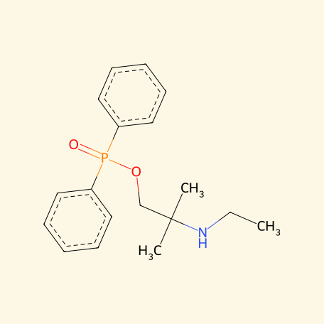 CCNC(C)(C)COP(=O)(c1ccccc1)c1ccccc1